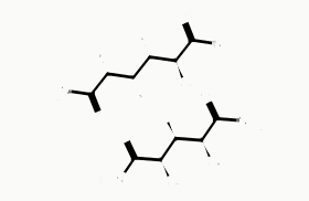 NC(=O)[C@@H](O)[C@@H](O)[C@H](O)[C@@H](O)C(N)=O.NC(=O)[C@@H](O)[C@H](O)[C@@H](O)C(N)=O